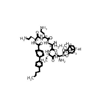 CCCCc1ccc(-c2ccc(C(=O)N[C@@H](CCN)C(=O)N[C@@H](CCN)C(=O)N[C@@H](N)C(=O)N[C@@H](CC)C(=O)N[C@@H](N)B3OC4C[C@@H]5C[C@@H](C5(C)C)[C@]4(C)O3)cc2)cc1